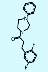 O=C(C[CH]c1cc(F)ccc1F)N1CCN(c2ccccc2)CC1